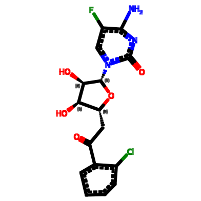 Nc1nc(=O)n([C@@H]2O[C@H](CC(=O)c3ccccc3Cl)[C@@H](O)[C@H]2O)cc1F